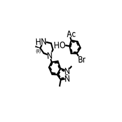 CC(=O)c1ccc(Br)cc1O.Cc1nn(C)c2cc(N3CCN[C@H](C)C3)ccc12